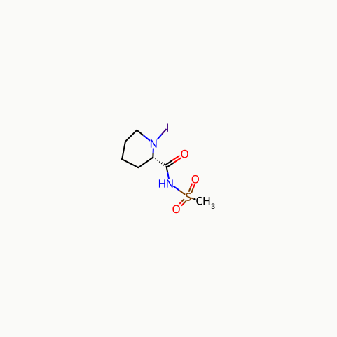 CS(=O)(=O)NC(=O)[C@@H]1CCCCN1I